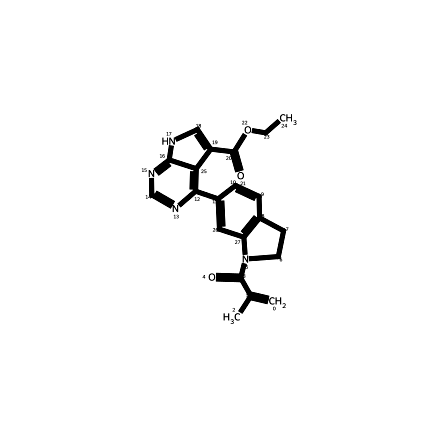 C=C(C)C(=O)N1CCc2ccc(-c3ncnc4[nH]cc(C(=O)OCC)c34)cc21